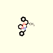 C[C@@H](Cc1ccccc1)[C@@H](CNCc1ccccc1)OC1CCCCO1